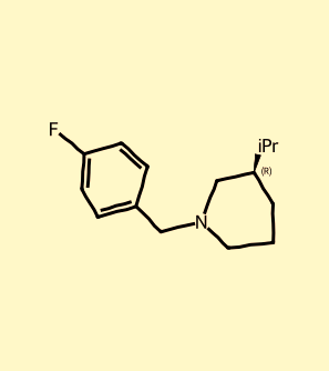 CC(C)[C@H]1CCCN(Cc2ccc(F)cc2)C1